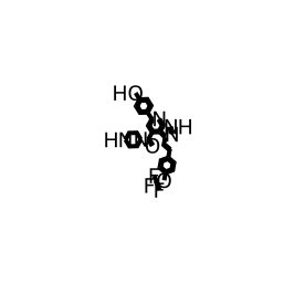 O=C(c1cc(-c2ccc(O)cc2)nc2[nH]nc(/C=C/c3ccc(OC(F)(F)F)cc3)c12)N1CCNCC1